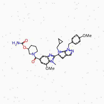 COc1ccc(Cn2ncc3cc(-c4nc5cc(C(=O)N6CCCC(OC(N)=O)C6)cc(OC)c5n4C)n(CC4CC4)c32)cc1